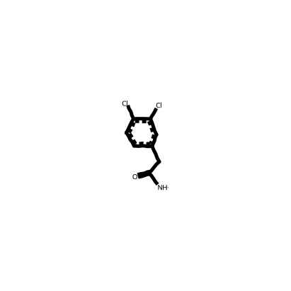 [NH]C(=O)Cc1ccc(Cl)c(Cl)c1